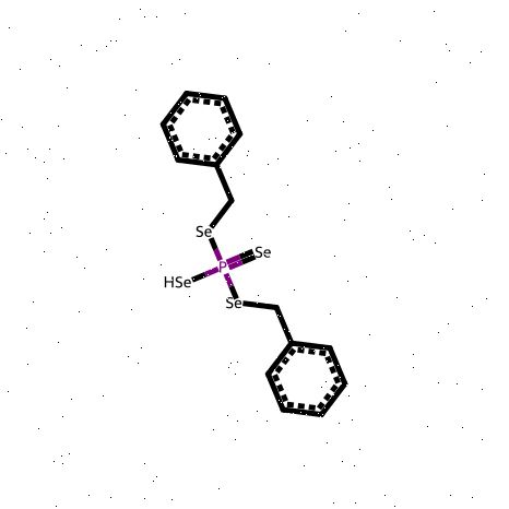 [Se]=P([SeH])([Se]Cc1ccccc1)[Se]Cc1ccccc1